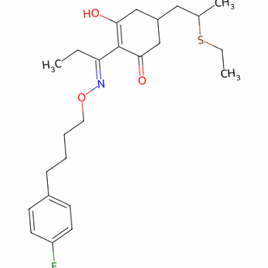 CCSC(C)CC1CC(=O)C(C(CC)=NOCCCCc2ccc(F)cc2)=C(O)C1